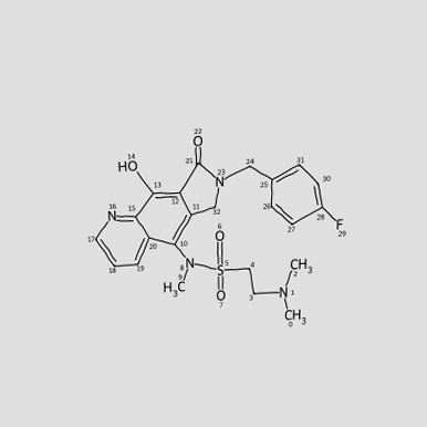 CN(C)CCS(=O)(=O)N(C)c1c2c(c(O)c3ncccc13)C(=O)N(Cc1ccc(F)cc1)C2